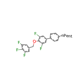 CCCCCc1ccc(-c2cc(F)c(OCc3cc(F)c(F)c(F)c3)c(F)c2)cc1